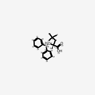 CC(C)(C)C[C@@](C)(O[SiH](c1ccccc1)c1ccccc1)C(=O)O